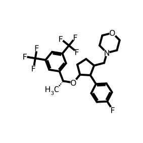 C[C@@H](OC1CCC(CN2CCOCC2)C1c1ccc(F)cc1)c1cc(C(F)(F)F)cc(C(F)(F)F)c1